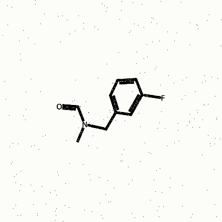 CN([C]=O)Cc1cccc(F)c1